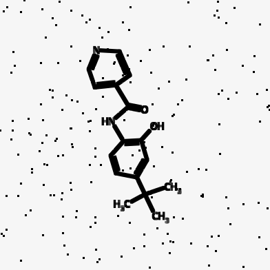 CC(C)(C)c1ccc(NC(=O)c2ccncc2)c(O)c1